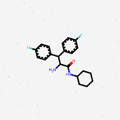 NC(C(=O)NC1CCCCC1)C(c1ccc(F)cc1)c1ccc(F)cc1